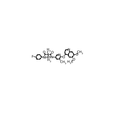 COc1cc2nccc(Oc3ncc(NC(=O)C(C)(C)C(=O)Nc4ccc(F)cc4)cc3C)c2cc1OC